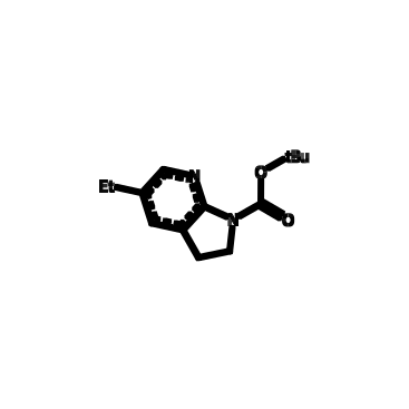 CCc1cnc2c(c1)CCN2C(=O)OC(C)(C)C